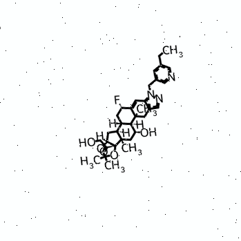 CCc1cncc(Cn2ncc3c2C=C2[C@@H](F)C[C@@H]4[C@H]([C@@H](O)C[C@@]5(C)[C@H]4C[C@H]4OC(C)(C)O[C@]45C(=O)CO)[C@@]2(C)C3)c1